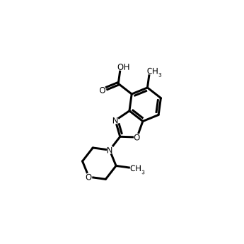 Cc1ccc2oc(N3CCOCC3C)nc2c1C(=O)O